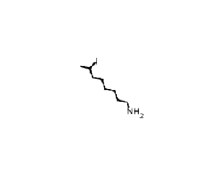 CC(I)CCCCCCN